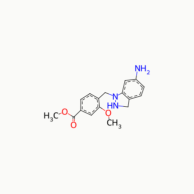 COC(=O)c1ccc(CN2NCc3ccc(N)cc32)c(OC)c1